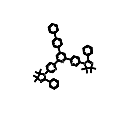 CC1(C)N=C(c2ccccc2)N(c2ccc(-c3cc(-c4ccc(-c5ccccc5)cc4)cc(-c4ccc(N5C(c6ccccc6)=NC(C)(C)C5(C)C)cn4)n3)nc2)C1(C)C